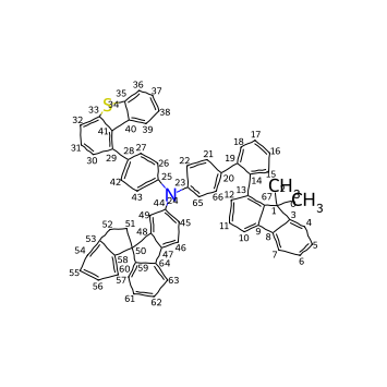 CC1(C)c2ccccc2-c2cccc(-c3ccccc3-c3ccc(N(c4ccc(-c5cccc6sc7ccccc7c56)cc4)c4ccc5c(c4)C4(CCc6ccccc64)c4ccccc4-5)cc3)c21